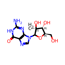 C[C@@]1(O)C(n2cnc3c(=O)[nH]c(N)nc32)O[C@H](CO)[C@H]1O